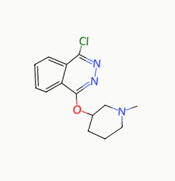 CN1CCCC(Oc2nnc(Cl)c3ccccc23)C1